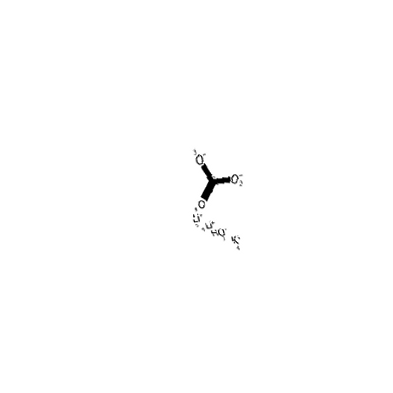 O=C([O-])[O-].[K+].[Li+].[Li+].[OH-]